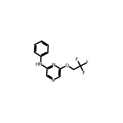 FC(F)(F)COc1cncc(Nc2ccccc2)n1